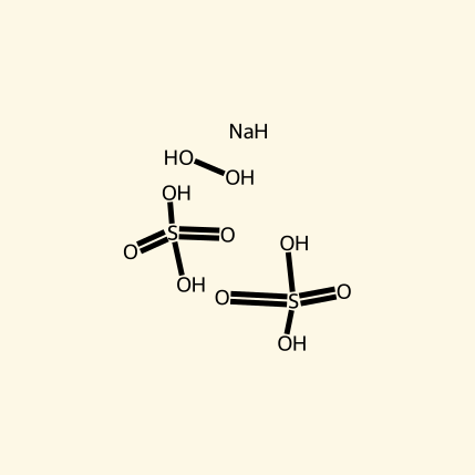 O=S(=O)(O)O.O=S(=O)(O)O.OO.[NaH]